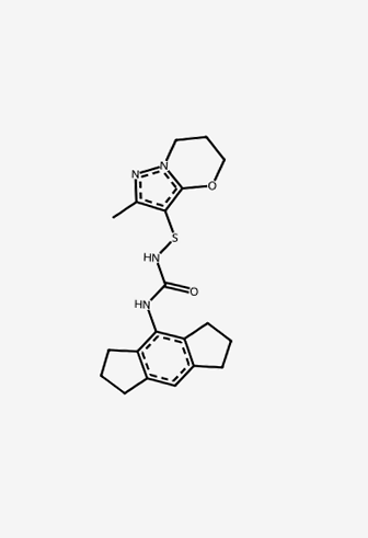 Cc1nn2c(c1SNC(=O)Nc1c3c(cc4c1CCC4)CCC3)OCCC2